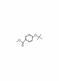 COC(=O)c1ccc(OC(C)(C)C)cc1